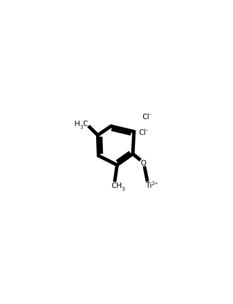 Cc1ccc([O][Ti+2])c(C)c1.[Cl-].[Cl-]